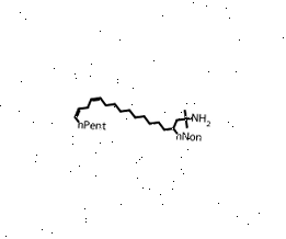 CCCCC/C=C\C/C=C\CCCCCCCCCC(CCCCCCCCC)CC(C)(C)N